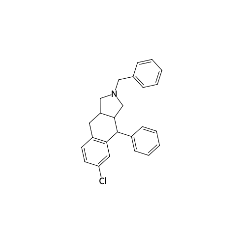 Clc1ccc2c(c1)C(c1ccccc1)C1CN(Cc3ccccc3)CC1C2